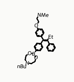 CCCCN1CCOB(c2ccc(C(=C(CC)c3ccccc3)c3ccc(OCCNC)cc3)cc2)OCC1